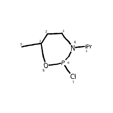 CC1CCN(C(C)C)P(Cl)O1